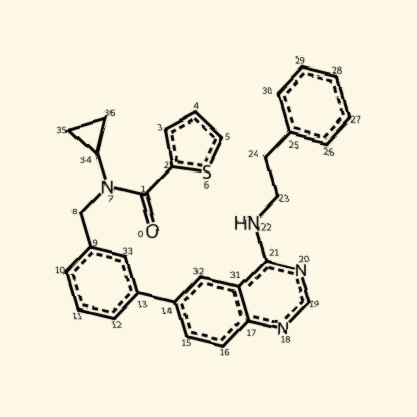 O=C(c1cccs1)N(Cc1cccc(-c2ccc3ncnc(NCCc4ccccc4)c3c2)c1)C1CC1